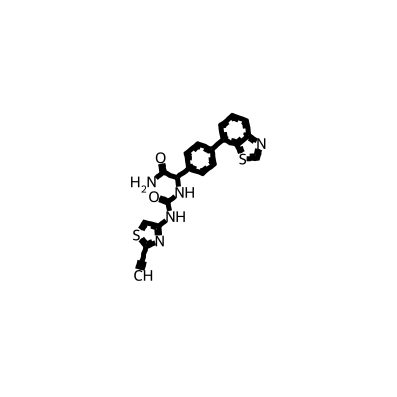 C#Cc1nc(NC(=O)NC(C(N)=O)c2ccc(-c3cccc4ncsc34)cc2)cs1